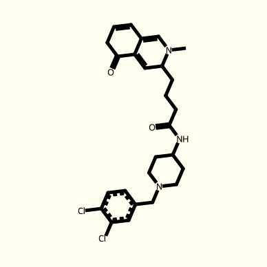 CN1C=C2C=CCC(=O)C2=CC1CCCC(=O)NC1CCN(Cc2ccc(Cl)c(Cl)c2)CC1